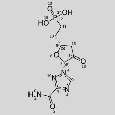 NC(=O)c1ncn([C@@H]2O[C@H](CCP(=O)(O)O)CC2=O)n1